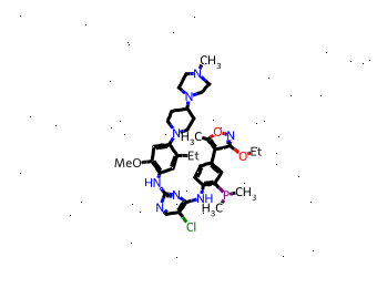 CCOc1noc(C)c1-c1ccc(Nc2nc(Nc3cc(CC)c(N4CCC(N5CCN(C)CC5)CC4)cc3OC)ncc2Cl)c(P(C)C)c1